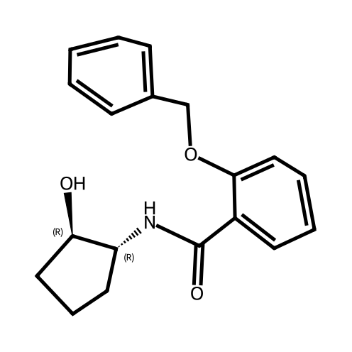 O=C(N[C@@H]1CCC[C@H]1O)c1ccccc1OCc1ccccc1